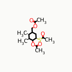 CC(=O)OCC1C[C@@H](SC(C)=O)C(OC(C)=O)[C@@H](C)[C@@H]1C